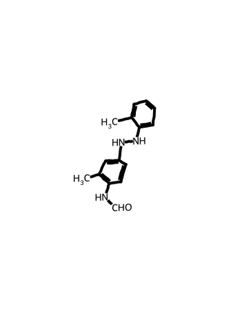 Cc1cc(NNc2ccccc2C)ccc1NC=O